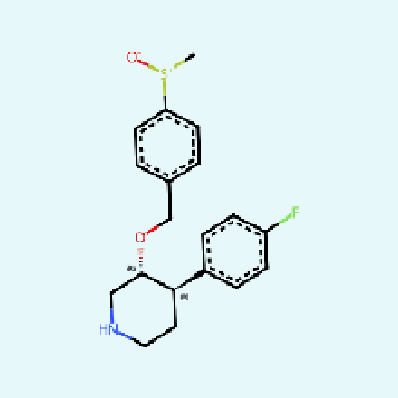 C[S+]([O-])c1ccc(CO[C@H]2CNCC[C@@H]2c2ccc(F)cc2)cc1